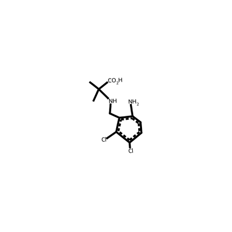 CC(C)(NCc1c(N)ccc(Cl)c1Cl)C(=O)O